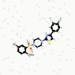 COc1ccc(Br)cc1S(=O)(=O)N1CCN(c2nc(-c3ccc(Cl)c(F)c3)cs2)CC1